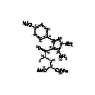 CCc1nn(-c2ccc(OC)cc2)c(C(=O)C(C)CC(OC)OC)c1N